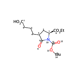 CCOC(=O)[C@@H]1CC(CCCC(=O)O)C(=O)N1C(=O)OC(C)(C)C